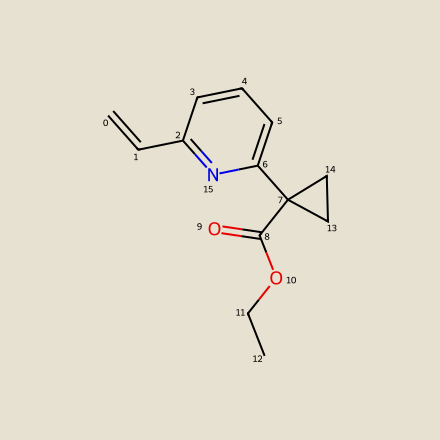 C=Cc1cccc(C2(C(=O)OCC)CC2)n1